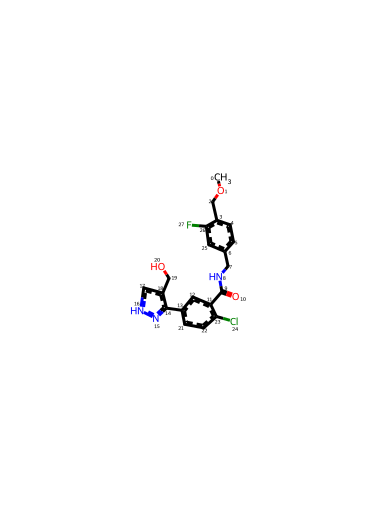 COCc1ccc(CNC(=O)c2cc(-c3n[nH]cc3CO)ccc2Cl)cc1F